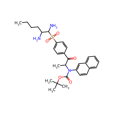 CCCCC(N)C(N)S(=O)(=O)c1ccc(C(=O)C(C)N(C(=O)OC(C)(C)C)c2ccc3ccccc3c2)cc1